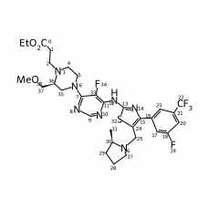 CCOC(=O)CCN1CCN(c2ncnc(Nc3nc(-c4cc(F)cc(C(F)(F)F)c4)c(CN4CCC[C@H]4C)s3)c2F)C[C@H]1COC